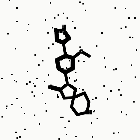 COc1cc(N2CC3(CCNCC3)CC2=O)ccc1-c1cn[nH]c1